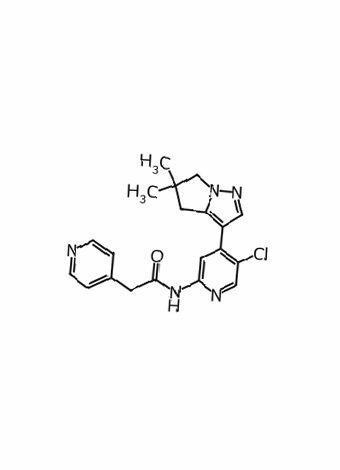 CC1(C)Cc2c(-c3cc(NC(=O)Cc4ccncc4)ncc3Cl)cnn2C1